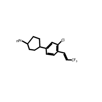 CCCC1CCC(c2ccc(/C=C/C(F)(F)F)c(Cl)c2)CC1